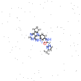 CC(C)c1ccn(CC(=O)Nc2ccc(-n3c4c(c5ncnc(N)c53)CCC4)cc2)n1